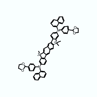 C[Si]1(C)c2cc(N(c3ccc(C4OCCO4)cc3)c3cccc4ccccc34)ccc2-c2cc3cc4c(cc3cc21)-c1ccc(N(c2ccc(C3OCCO3)cc2)c2cccc3ccccc23)cc1[Si]4(C)C